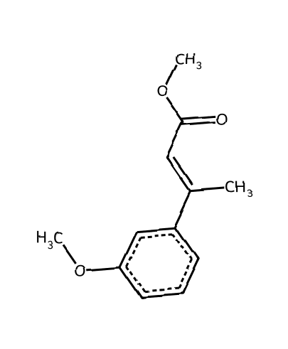 COC(=O)C=C(C)c1cccc(OC)c1